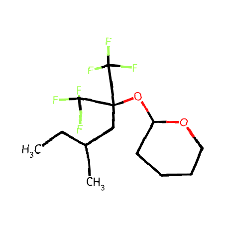 CCC(C)CC(OC1CCCCO1)(C(F)(F)F)C(F)(F)F